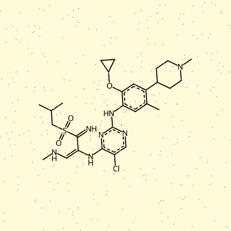 CN/C=C(/Nc1nc(Nc2cc(C)c(C3CCN(C)CC3)cc2OC2CC2)ncc1Cl)C(=N)S(=O)(=O)CC(C)C